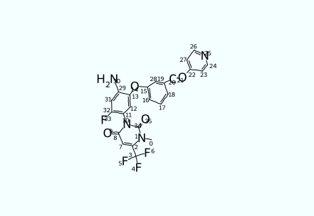 Cn1c(C(F)(F)F)cc(=O)n(-c2cc(Oc3cccc(COc4ccncc4)c3)c(N)cc2F)c1=O